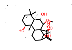 C=C1C(=O)C23C(CCC1[C@H]2O)[C@]1(C)[C@@H](O)CCC(C)(C)[C@@]1(C)[C@H](O)[C@@]3(O)OC